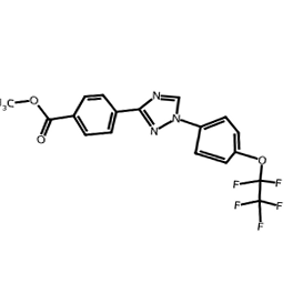 COC(=O)c1ccc(-c2ncn(-c3ccc(OC(F)(F)C(F)(F)F)cc3)n2)cc1